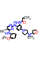 C=CC(=O)Nc1cc(N2CCC(N(C)C3CCOC3)CC2)ccc1Nc1ncc(C#N)c(Nc2ccccc2OC(C)C)n1